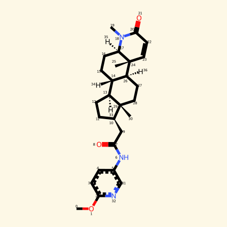 COc1ccc(NC(=O)C[C@H]2CC[C@H]3[C@@H]4CC[C@H]5N(C)C(=O)C=C[C@]5(C)[C@H]4CC[C@]23C)cn1